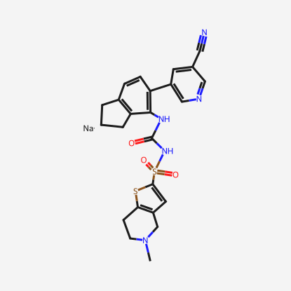 CN1CCc2sc(S(=O)(=O)NC(=O)Nc3c(-c4cncc(C#N)c4)ccc4c3CCC4)cc2C1.[Na]